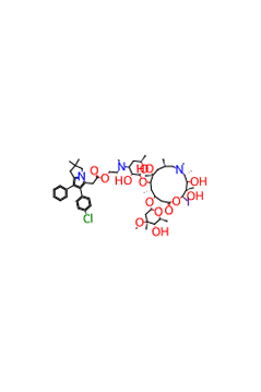 CO[C@]1(C)C[C@H](O[C@H]2[C@H](C)[C@@H](O[C@@H]3O[C@H](C)C[C@H](N(C)CCOC(=O)Cc4c(-c5ccc(Cl)cc5)c(-c5ccccc5)c5n4CC(C)(C)C5)[C@H]3O)[C@](C)(O)C[C@@H](C)CN(C)[C@H](C)[C@@H](O)[C@](C)(O)[C@@H](I)OC(=O)[C@@H]2C)O[C@@H](C)[C@@H]1O